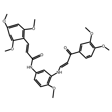 COc1cc(OC)c(C=CC(=O)Nc2ccc(OC)c(NC=CC(=O)c3ccc(OC)c(OC)c3)c2)c(OC)c1